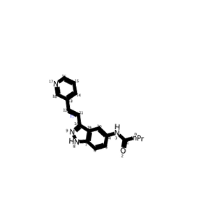 CCCC(=O)Nc1ccc2[nH]nc(/C=C/c3cccnc3)c2c1